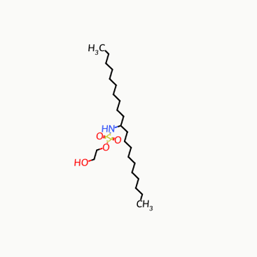 CCCCCCCCCCC(CCCCCCCCCC)NS(=O)(=O)OCCO